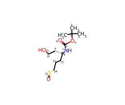 CC(C)(C)OC(=O)N[C@@H](CCO)CCC[S+]=O